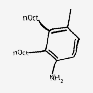 CCCCCCCCc1c(C)ccc(N)c1CCCCCCCC